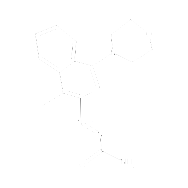 Cc1c(/N=N/C(N)=O)cc(N2CCOCC2)c2ccccc12